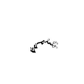 CN(C)CC=CC(=O)N1CC(CN2CC(n3cccn3)C2)C1